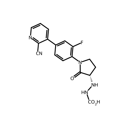 N#Cc1ncccc1-c1ccc(N2CC[C@H](NNC(=O)O)C2=O)c(F)c1